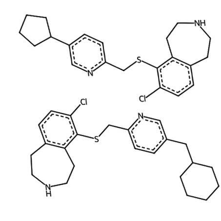 Clc1ccc2c(c1SCc1ccc(C3CCCC3)cn1)CCNCC2.Clc1ccc2c(c1SCc1ccc(CC3CCCCC3)cn1)CCNCC2